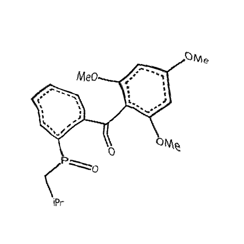 COc1cc(OC)c(C(=O)c2ccccc2[P](=O)CC(C)C)c(OC)c1